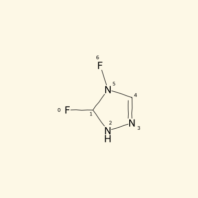 FC1NN=CN1F